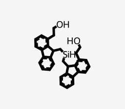 OCCc1cccc2c1C(C[SiH2]CC1c3ccccc3-c3cccc(CCO)c31)c1ccccc1-2